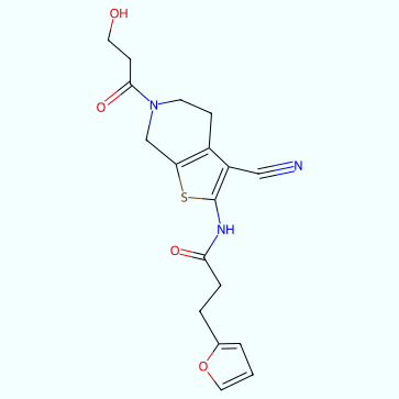 N#Cc1c(NC(=O)CCc2ccco2)sc2c1CCN(C(=O)CCO)C2